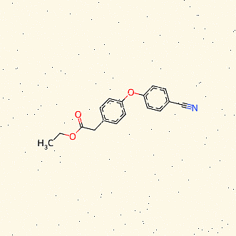 CCOC(=O)Cc1ccc(Oc2ccc(C#N)cc2)cc1